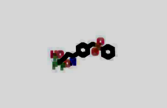 O=S(=O)(Cc1ccc(C2=NOC(O)(C(F)(F)F)C2)cc1)c1ccccc1